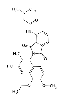 CCOc1cc(C(C(C)C(=O)O)N2C(=O)c3cccc(NC(=O)CN(C)C)c3C2=O)ccc1OC